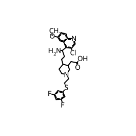 COc1ccc2ncc(Cl)c(C(N)CCC3CCN(CCSc4cc(F)cc(F)c4)CC3CC(=O)O)c2c1